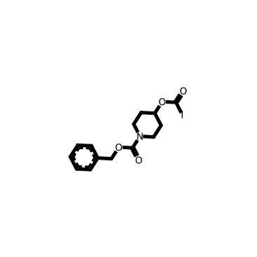 O=C(I)OC1CCN(C(=O)OCc2ccccc2)CC1